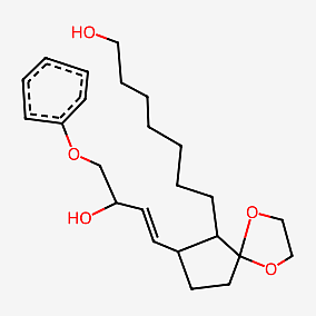 OCCCCCCCC1C(C=CC(O)COc2ccccc2)CCC12OCCO2